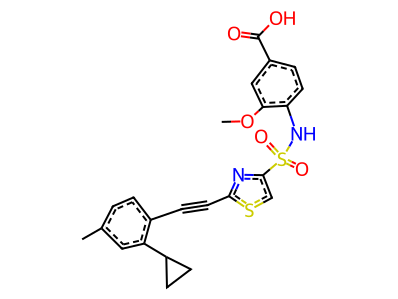 COc1cc(C(=O)O)ccc1NS(=O)(=O)c1csc(C#Cc2ccc(C)cc2C2CC2)n1